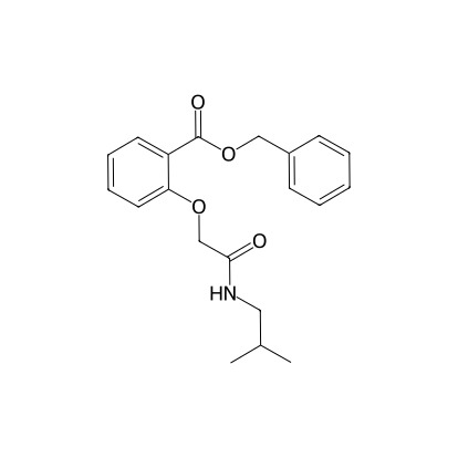 CC(C)CNC(=O)COc1ccccc1C(=O)OCc1ccccc1